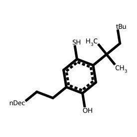 CCCCCCCCCCCCc1cc(S)c(C(C)(C)CC(C)(C)C)cc1O